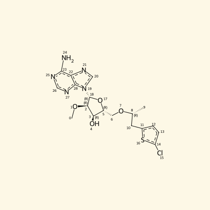 CO[C@@H]1[C@H](O)[C@@H](CO[C@H](C)Cc2ccc(Cl)s2)O[C@H]1n1cnc2c(N)ncnc21